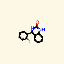 O=c1nc(-c2ccccc2Cl)c2ccccc2[nH]1